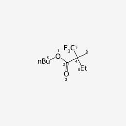 CCCCOC(=O)C(C)(CC)C(F)(F)F